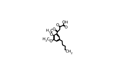 C=CCCCc1cc(OC)c(OC)c(C(=O)CC(=O)C(=O)O)c1